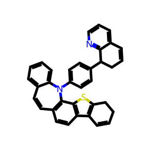 C1=Cc2c(sc3c4c(ccc23)C=Cc2ccccc2N4c2ccc(C3CC=Cc4cccnc43)cc2)CC1